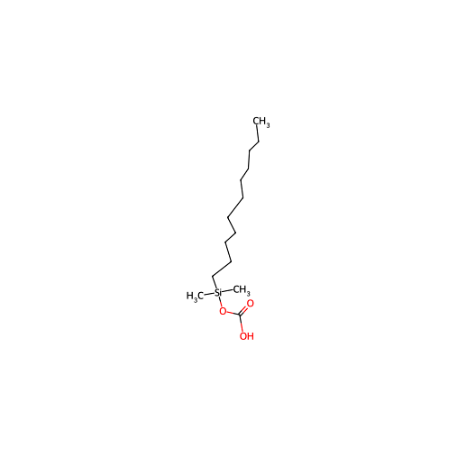 CCCCCCCCCCC[Si](C)(C)OC(=O)O